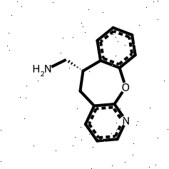 NC[C@H]1Cc2cccnc2Oc2ccccc21